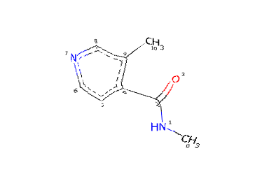 CNC(=O)c1ccn[c]c1C